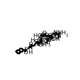 CC(C)(COP(=O)(O)OP(=O)(O)OC[C@H]1O[C@@H](n2cnc3c(N)ncnc32)[C@H](O)[C@@H]1OP(=O)(O)O)[C@@H](O)C(=O)NCCC(=O)NCCSC(=O)C1=CCc2ccccc2C1